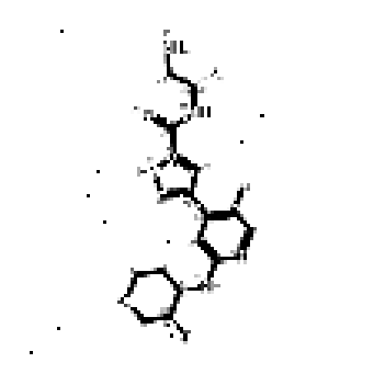 Cc1cnc(N[C@@H]2CCOC[C@@H]2F)cc1-c1c[nH]c(C(=O)N[C@@H](C)CN)c1